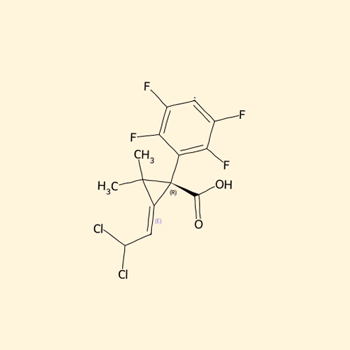 CC1(C)/C(=C\C(Cl)Cl)[C@@]1(C(=O)O)c1c(F)c(F)[c]c(F)c1F